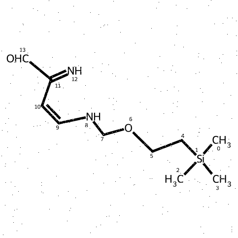 C[Si](C)(C)CCOCN/C=C\C(=N)C=O